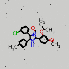 COc1ccc(C2NC(c3ccc(C)cc3)C(c3cccc(Cl)c3)N2C=O)c(OC(C)C)c1